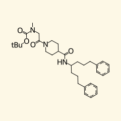 CN(CC(=O)N1CCC(C(=O)NC(CCCc2ccccc2)CCCc2ccccc2)CC1)C(=O)OC(C)(C)C